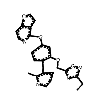 CCc1noc(COc2cc(Oc3nccc4occc34)ccc2-c2cccnc2C)n1